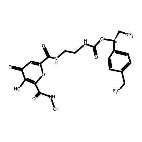 O=C(NCCNC(=O)c1cc(=O)c(O)c(C(=O)NO)o1)O[C@@H](CC(F)(F)F)c1ccc(CC(F)(F)F)cc1